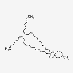 CCCCC/C=C\C/C=C\CCCCCCCCC1(CCCCCCCC/C=C\C/C=C\CCCCC)OCC2(CCCC(C)CC2)O1